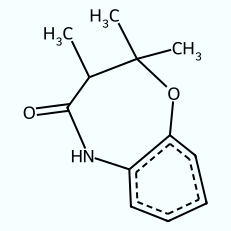 CC1C(=O)Nc2ccccc2OC1(C)C